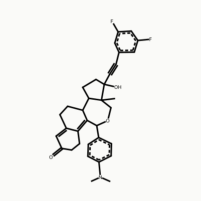 CN(C)c1ccc(C2OCC3(C)C(CCC3(O)C#Cc3cc(F)cc(F)c3)C3CCC4=CC(=O)CCC4=C23)cc1